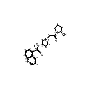 N#C[C@@H]1CCCN1C(=O)CN1CC[C@H](NC(=O)c2cccc3ncccc23)C1